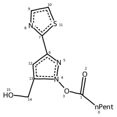 CCCCCC(=O)On1nc(-c2nccs2)cc1CO